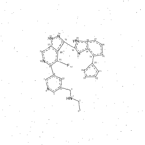 CCNCc1cncc(-c2ncc3[nH]nc(-c4nc5c(-c6cccs6)cccc5[nH]4)c3c2F)c1